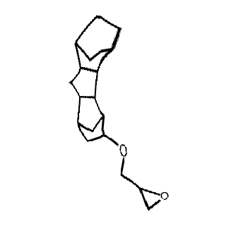 C1OC1COC1CC2CC1C1C2CC2C3CCC(C3)C21